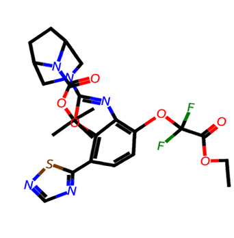 CCOC(=O)C(F)(F)Oc1ccc(-c2ncns2)c2oc(N3CC4CCC(C3)N4C(=O)OC(C)(C)C)nc12